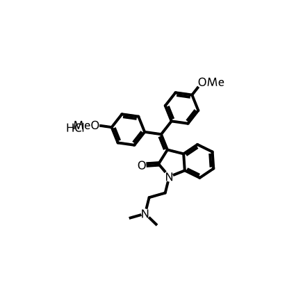 COc1ccc(C(=C2C(=O)N(CCN(C)C)c3ccccc32)c2ccc(OC)cc2)cc1.Cl